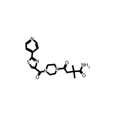 CC(C)(CC(=O)N1CCN(C(=O)c2csc(-c3ccncc3)n2)CC1)C(N)=O